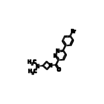 CN(C)C1CN(C(=O)c2ccc(-c3ccc(Br)cc3)nn2)C1